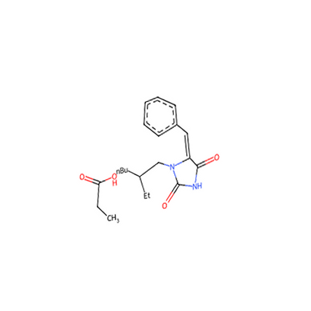 CCC(=O)O.CCCCC(CC)CN1C(=O)NC(=O)C1=Cc1ccccc1